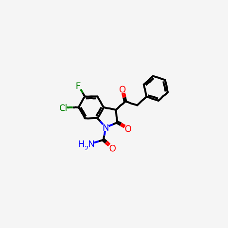 NC(=O)N1C(=O)C(C(=O)Cc2ccccc2)c2cc(F)c(Cl)cc21